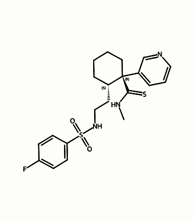 CNC(=S)[C@]1(c2cccnc2)CCCC[C@H]1CCNS(=O)(=O)c1ccc(F)cc1